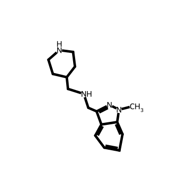 Cn1nc(CNCC2CCNCC2)c2ccccc21